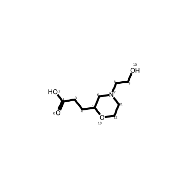 O=C(O)CCC1CN(CCO)CCO1